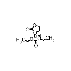 CCOC(=O)OCC.O=C1OCCO1.[LiH]